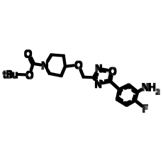 CC(C)(C)OC(=O)N1CCC(OCc2noc(-c3ccc(F)c(N)c3)n2)CC1